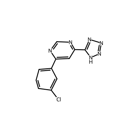 Clc1cccc(-c2cc(-c3nnn[nH]3)ncn2)c1